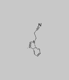 N#CCCn1c[c]c2ccccc21